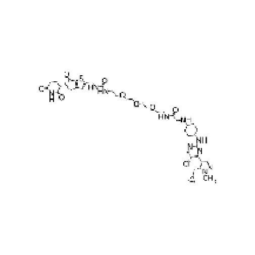 Cn1ncc(-c2nc(NC3CCC(NCC(=O)NCCOCCOCCOCCNC(=O)NCc4cc5c(s4)C(=O)N(C4CCC(=O)NC4=O)C5)CC3)ncc2Cl)c1CC1CC1